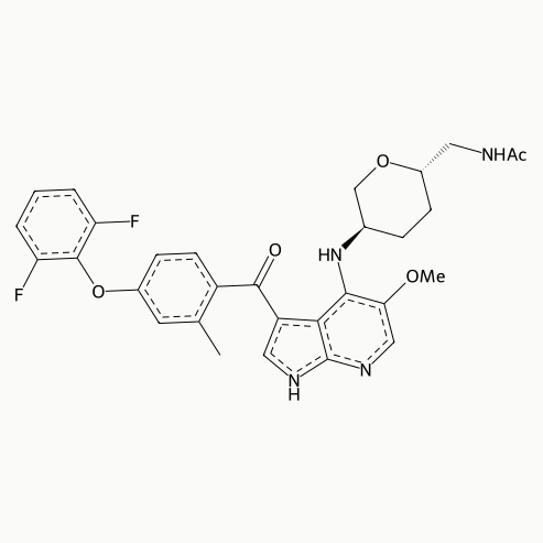 COc1cnc2[nH]cc(C(=O)c3ccc(Oc4c(F)cccc4F)cc3C)c2c1N[C@@H]1CC[C@@H](CNC(C)=O)OC1